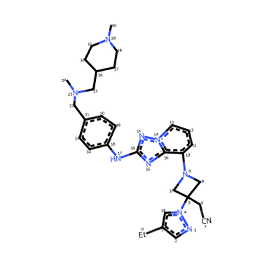 CCc1cnn(C2(CC#N)CN(c3cccn4nc(Nc5ccc(CN(C)CC6CCN(C)CC6)cc5)nc34)C2)c1